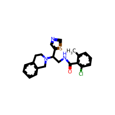 Cc1cccc(Cl)c1C(=O)NCC(c1cncs1)N1CCc2ccccc2C1